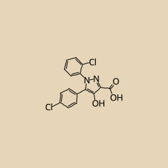 O=C(O)c1nn(-c2ccccc2Cl)c(-c2ccc(Cl)cc2)c1O